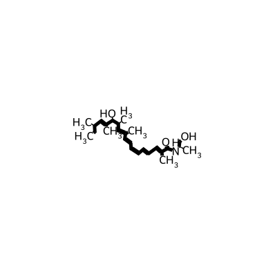 CC[C@H](C)/C=C(\C)[C@H](O)[C@H](C)/C=C(C)/C=C/C=C\C=C\C=C(/C)C(=O)N[C@@H](C)CO